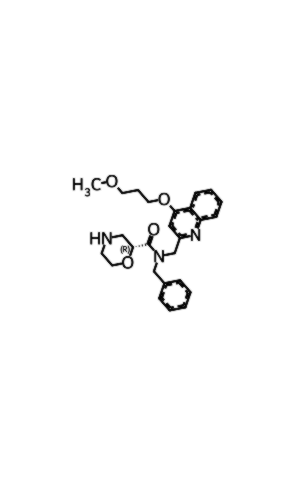 COCCCOc1cc(CN(Cc2ccccc2)C(=O)[C@H]2CNCCO2)nc2ccccc12